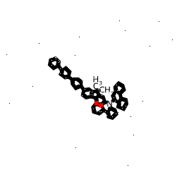 CC1(C)c2cc(-c3ccc(-c4ccc(-c5ccccc5)cc4)cc3)ccc2-c2ccc(N(c3ccccc3-c3ccccc3)c3cc4ccccc4c4ccccc34)cc21